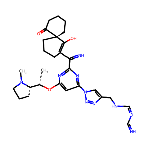 C[C@H](Oc1cc(-n2cc(CN/C=N\C=N)nn2)nc(C(=N)C2=C(O)[C@]3(CCCCC3=O)CCC2)n1)[C@@H]1CCCN1C